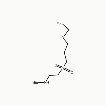 CC(C)(C)COCCCS(=O)(=O)CCNC(C)(C)C